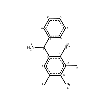 Cc1cc(C(N)c2ccccc2)c(C(C)C)c(C)c1C(C)C